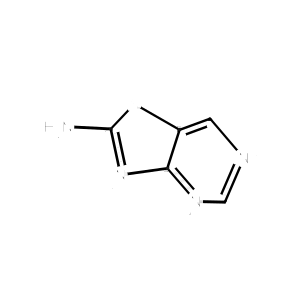 Nc1nc2ncncc2s1